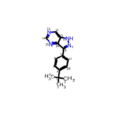 CC(C)(C)c1ccc(-c2n[nH]c3cncnc23)cc1